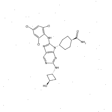 NC(=O)[C@H]1CC[C@H](n2c(Nc3c(Cl)cc(Cl)cc3Cl)nc3cnc(N[C@H]4C[C@H](O)C4)nc32)CC1